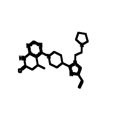 C=Cc1cn(CCN2CCCC2)c(C2CCN(c3ncnc4c3C(C)CC(=O)N4)CC2)n1